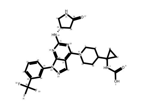 O=C(O)NC1(C2CCN(c3nc(N[C@@H]4CNC(=O)C4)nc4c3cnn4-c3cccc(C(F)(F)F)c3)CC2)CC1